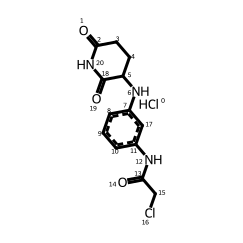 Cl.O=C1CCC(Nc2cccc(NC(=O)CCl)c2)C(=O)N1